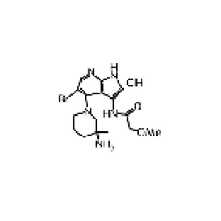 COCC(=O)Nc1c[nH]c2ncc(Br)c(N3CCCC(C)(N)C3)c12.Cl